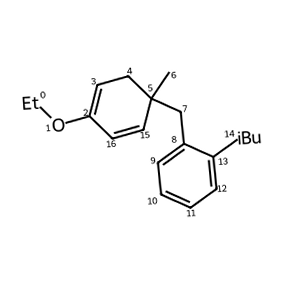 CCOC1=CCC(C)(Cc2ccccc2C(C)CC)C=C1